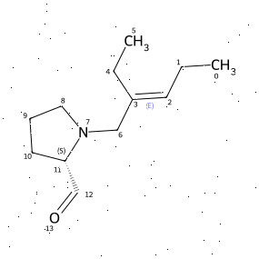 CC/C=C(\CC)CN1CCC[C@H]1C=O